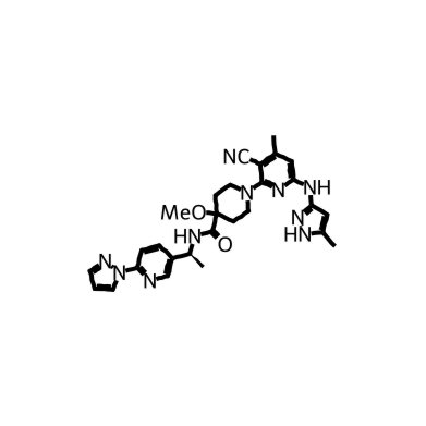 COC1(C(=O)N[C@@H](C)c2ccc(-n3cccn3)nc2)CCN(c2nc(Nc3cc(C)[nH]n3)cc(C)c2C#N)CC1